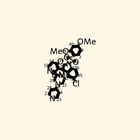 COc1ccc(S(=O)(=O)N2C(=O)C(c3cccnc3OC)(N3CCN(c4ccncc4)CC3)c3cc(Cl)ccc32)c(OC)c1